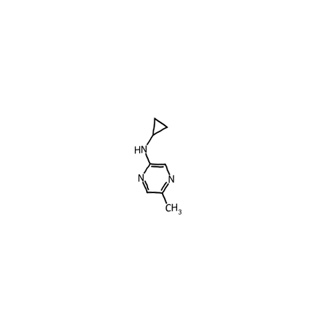 Cc1cnc(NC2CC2)cn1